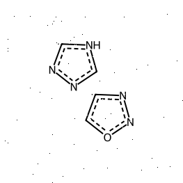 [c]1conn1.[c]1nnc[nH]1